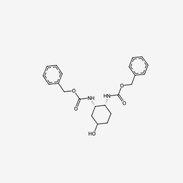 O=C(N[C@H]1CC(O)CC[C@H]1NC(=O)OCc1ccccc1)OCc1ccccc1